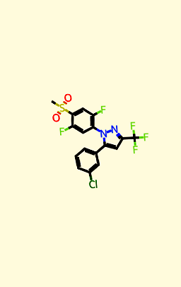 CS(=O)(=O)c1cc(F)c(-n2nc(C(F)(F)F)cc2-c2cccc(Cl)c2)cc1F